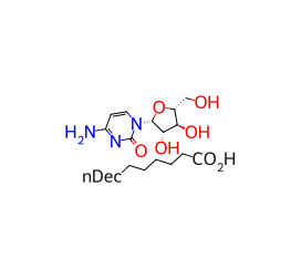 CCCCCCCCCCCCCCCC(=O)O.Nc1ccn([C@@H]2O[C@H](CO)[C@@H](O)[C@@H]2O)c(=O)n1